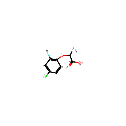 CC(Oc1ccc(Cl)cc1F)C(=O)O